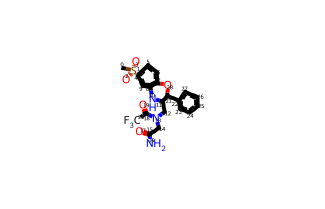 CS(=O)(=O)c1ccc2c(c1)NC(CN(CC(N)=O)C(=O)C(F)(F)F)C(c1ccccc1)O2